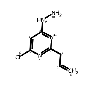 C=CCc1nc(Cl)cc(NN)n1